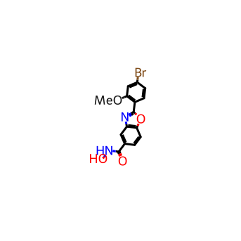 COc1cc(Br)ccc1-c1nc2cc(C(=O)NO)ccc2o1